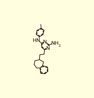 Cc1ccc(Nc2cc(CCC3CCCc4ccccc4C3)nc(N)n2)cc1